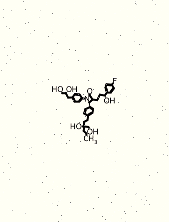 CCCC(O)(CO)CCc1ccc([C@@H]2C(CC[C@H](O)c3ccc(F)cc3)C(=O)N2c2ccc(CC(O)CO)cc2)cc1